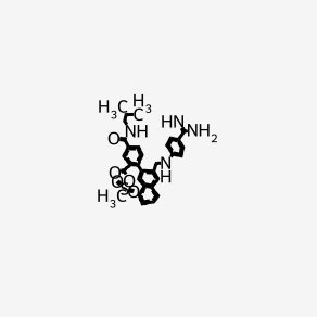 CC(C)CNC(=O)c1ccc(-c2cc3ccccc3cc2CNc2ccc(C(=N)N)cc2)c(C(=O)OS(C)(=O)=O)c1